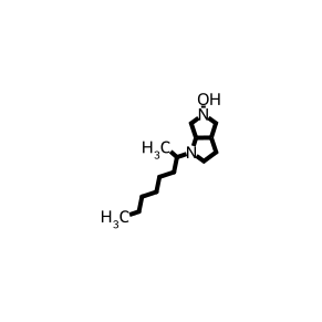 CCCCCCC(C)N1CCC2CN(O)CC21